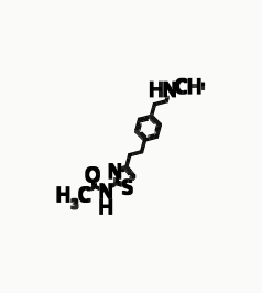 [CH]NCCc1ccc(CCc2csc(NC(C)=O)n2)cc1